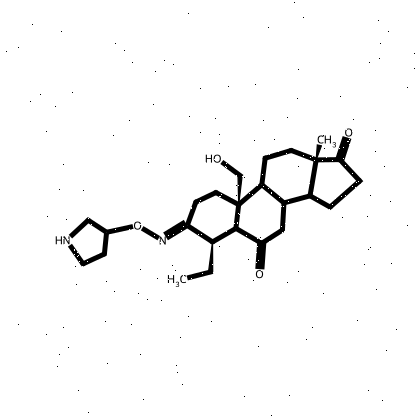 CC[C@H]1C(=NOC2CCNC2)CC[C@]2(CO)C3CC[C@]4(C)C(=O)CCC4C3CC(=O)C12